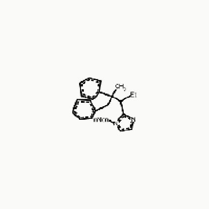 CCCCCCCCCn1ccnc1C(CC)C(C)(Cc1ccccc1)c1ccccc1